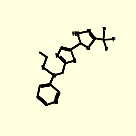 CCSN(Cc1ncc(C2NN=C(C(F)(F)F)O2)s1)c1cccnc1